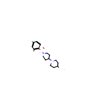 CCc1cc(Br)ccc1S(=O)(=O)N1CCC(N2CCC(C)CC2)CC1